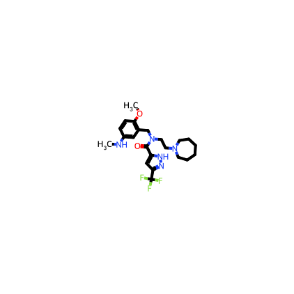 CNc1ccc(OC)c(CN(CCN2CCCCCC2)C(=O)c2cc(C(F)(F)F)n[nH]2)c1